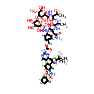 CC(NC(=O)C(NC(=O)[C@H](O)[C@H](O)[C@@H](O[C@@H]1O[C@H](CO)[C@H](O)[C@H](O)[C@H]1O)[C@H](O)CO)C(C)O)C(=O)NC(CC(N)=O)C(=O)Nc1ccc(COC(=O)Nc2nccc(-c3sc(C(C)(C)C)nc3-c3cccc(NS(=O)(=O)c4c(F)cccc4F)c3F)n2)cc1